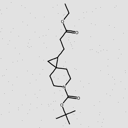 CCOC(=O)CCC1CC12CCN(C(=O)OC(C)(C)C)CC2